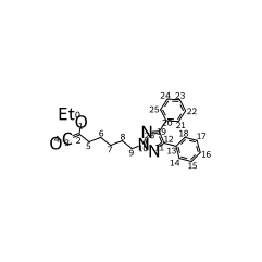 CCOC(=C=O)CCCCCn1nc(-c2ccccc2)c(-c2ccccc2)n1